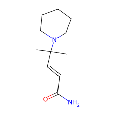 CC(C)(C=CC(N)=O)N1CCCCC1